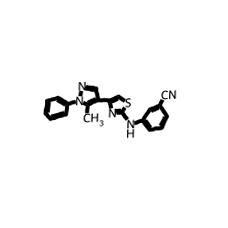 Cc1c(-c2csc(Nc3cccc(C#N)c3)n2)cnn1-c1ccccc1